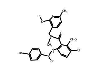 CCOc1nc(C)ccc1CN(C)C(=O)c1c(N[S+]([O-])c2ccc(C(C)(C)C)cc2)ccc(Cl)c1C=O